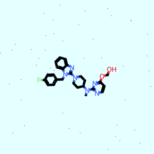 CN(c1nccc(OCO)n1)C1CCN(c2nc3ccccc3n2Cc2ccc(F)cc2)CC1